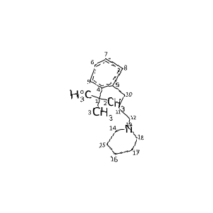 CC(C)(C)c1cc[c]cc1CCCN1CCCCC1